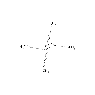 CCCCCCCC1(CCCCCCC)CC(CCCCCCC)(CCCCCCC)C1